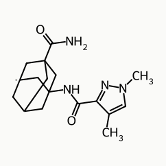 Cc1cn(C)nc1C(=O)NC12C[C]3CC(C1)CC(C(N)=O)(C3)C2